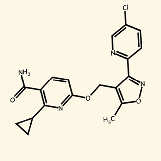 Cc1onc(-c2ccc(Cl)cn2)c1COc1ccc(C(N)=O)c(C2CC2)n1